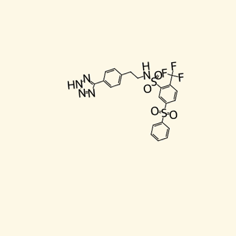 O=S(=O)(NCCc1ccc(-c2nn[nH]n2)cc1)c1cc(S(=O)(=O)c2ccccc2)ccc1C(F)(F)F